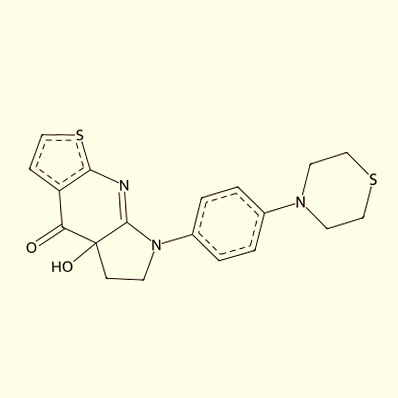 O=C1c2ccsc2N=C2N(c3ccc(N4CCSCC4)cc3)CCC12O